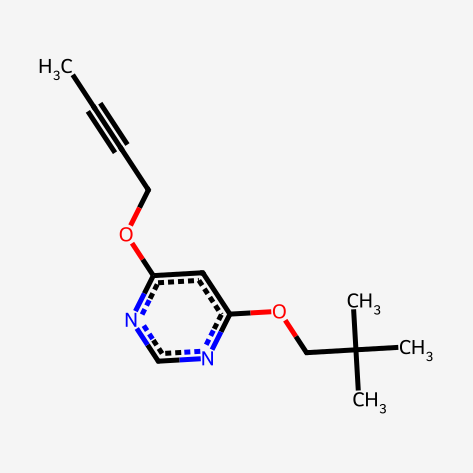 CC#CCOc1cc(OCC(C)(C)C)ncn1